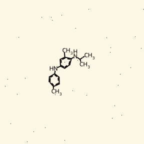 Cc1ccc(Nc2ccc(NC(C)C)c(C)c2)cc1